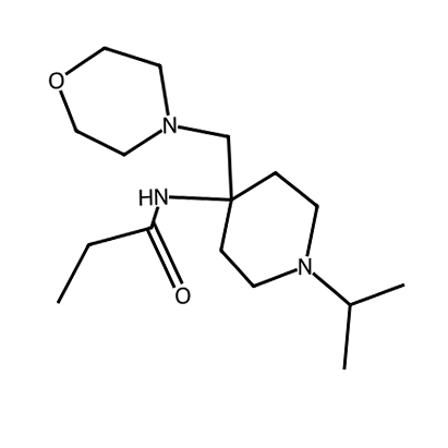 CCC(=O)NC1(CN2CCOCC2)CCN(C(C)C)CC1